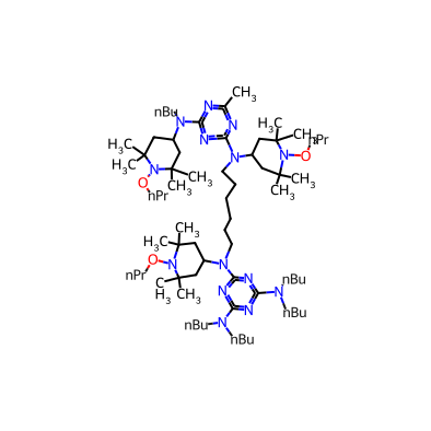 CCCCN(CCCC)c1nc(N(CCCC)CCCC)nc(N(CCCCCCN(c2nc(C)nc(N(CCCC)C3CC(C)(C)N(OCCC)C(C)(C)C3)n2)C2CC(C)(C)N(OCCC)C(C)(C)C2)C2CC(C)(C)N(OCCC)C(C)(C)C2)n1